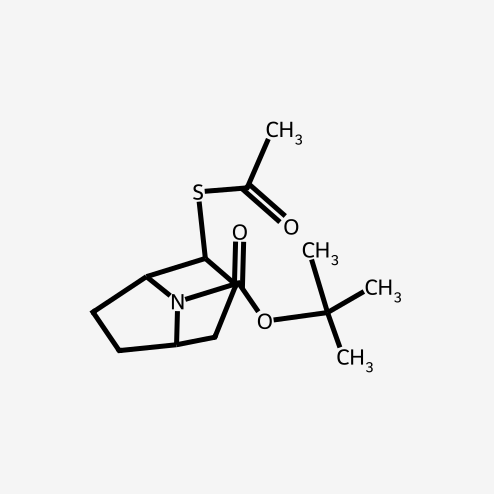 CC(=O)SC1CCC2CCC1N2C(=O)OC(C)(C)C